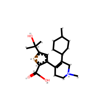 CC1CCC(C2=C(c3cc(C(C)(C)O)sc3C(=O)O)CCN(C)C2)CC1